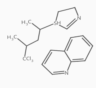 CC(CC(C)C(Cl)(Cl)Cl)[SH]1C=NCC1.c1ccc2ncccc2c1